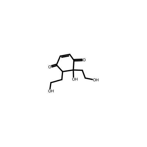 O=C1C=CC(=O)C(O)(CCO)C1CCO